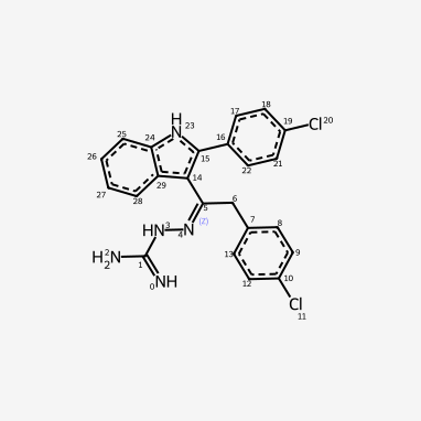 N=C(N)N/N=C(/Cc1ccc(Cl)cc1)c1c(-c2ccc(Cl)cc2)[nH]c2ccccc12